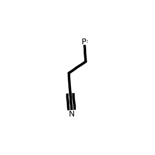 N#CCC[P]